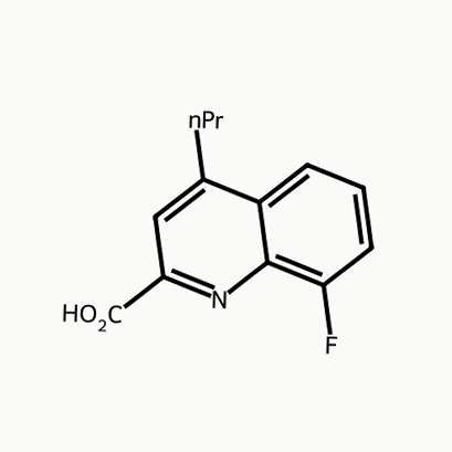 CCCc1cc(C(=O)O)nc2c(F)cccc12